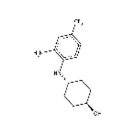 Nc1cc(C(F)(F)F)ccc1N[C@H]1CC[C@H](O)CC1